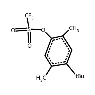 Cc1cc(C(C)(C)C)c(C)cc1OS(=O)(=O)C(F)(F)F